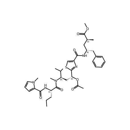 CCC[C@H](NC(=O)c1cccn1C)C(=O)N(C)[C@H](C[C@@H](OC(C)=O)c1nc(C(=O)N[C@@H](Cc2ccccc2)C[C@H](C)C(=O)OC)cs1)C(C)C